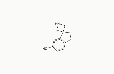 Oc1ccc2c(c1)C1(CC2)CNC1